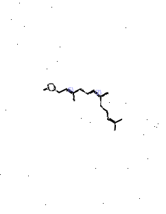 COC/C=C(\C)CC/C=C(/C)CCC=C(C)C